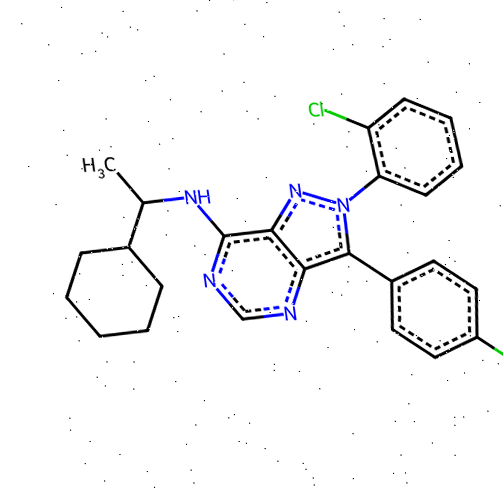 CC(Nc1ncnc2c(-c3ccc(Cl)cc3)n(-c3ccccc3Cl)nc12)C1CCCCC1